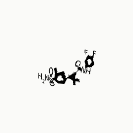 Cc1cc([C@H]2[C@H](C(=O)Nc3ccc(F)c(F)c3)C2(C)C)ccc1S(N)(=O)=O